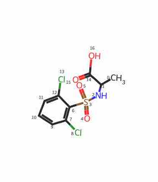 CC(NS(=O)(=O)c1c(Cl)cccc1Cl)C(=O)O